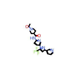 CC(=O)N1CCC(C(=O)Nc2ccc(-n3nc(-c4cccnc4)cc3C(F)(F)F)cn2)CC1